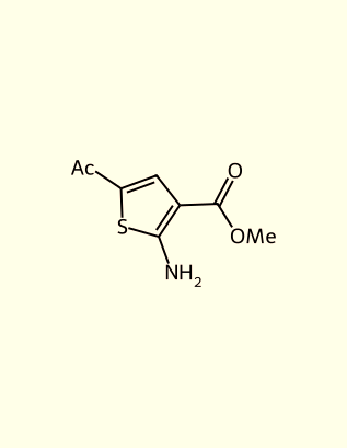 COC(=O)c1cc(C(C)=O)sc1N